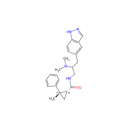 CN(C)C(CNC(=O)[C@@H]1C[C@]1(C)c1ccccc1)Cc1ccc2[nH]ncc2c1